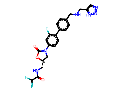 O=C(NC[C@H]1CN(c2ccc(-c3ccc(CNCc4cnn[nH]4)cc3)c(F)c2)C(=O)O1)C(F)F